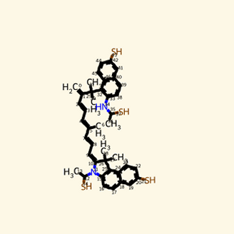 C=C(/C=C/C=C(C)/C=C/C=C1/N(C(C)S)c2ccc3cc(S)ccc3c2C1(C)C)C(C)(C)c1c(NC(C)S)ccc2cc(S)ccc12